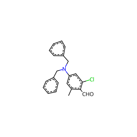 Cc1cc(N(Cc2ccccc2)Cc2ccccc2)cc(Cl)c1C=O